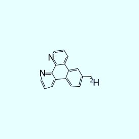 [2H]Cc1ccc2c(c1)c1cccnc1c1ncccc21